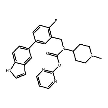 CN1CCC(N(Cc2cc(-c3ccc4[nH]ccc4c3)ccc2F)C(=O)Oc2ncccn2)CC1